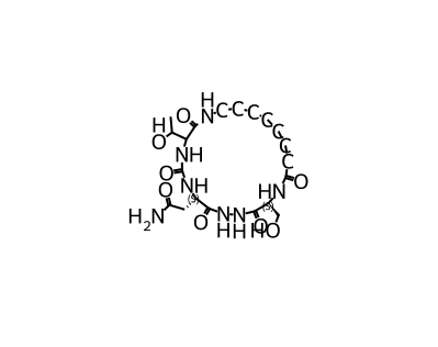 CC(O)C1NC(=O)N[C@@H](CC(N)=O)C(=O)NNC(=O)[C@H](CO)NC(=O)CCCCCCCNC1=O